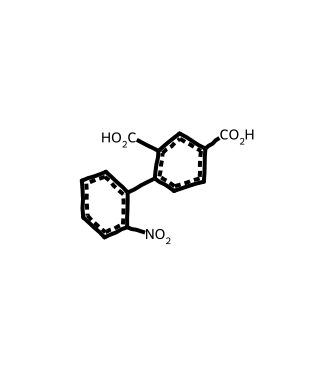 O=C(O)c1ccc(-c2ccccc2[N+](=O)[O-])c(C(=O)O)c1